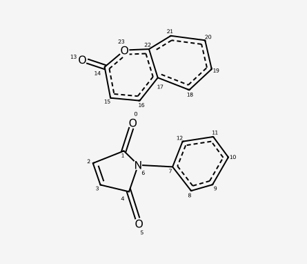 O=C1C=CC(=O)N1c1ccccc1.O=c1ccc2ccccc2o1